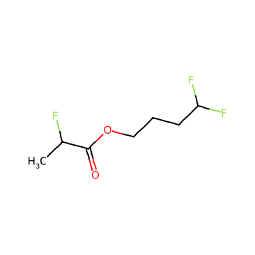 CC(F)C(=O)OCCCC(F)F